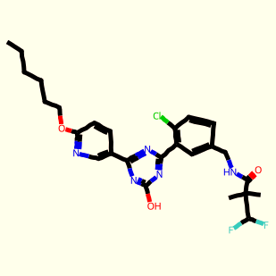 CCCCCCOc1ccc(-c2nc(O)nc(-c3cc(CNC(=O)C(C)(C)C(F)F)ccc3Cl)n2)cn1